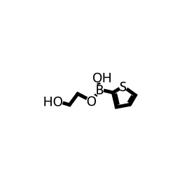 OCCOB(O)c1cccs1